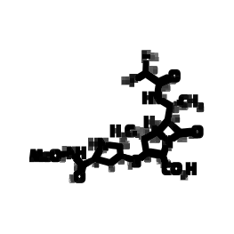 CONC(=O)[C@@H]1C[C@H](SC2=C(C(=O)O)N3C(=O)[C@H]([C@@H](C)NC(=O)C(F)F)[C@H]3[C@H]2C)CN1